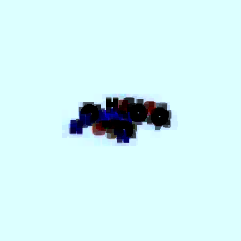 Cc1cc(Oc2ccccc2)ccc1N1C(=O)Nc2c(C(=O)N[C@H]3CCCN(C#N)C3)sc3nccc1c23